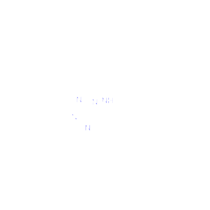 c1ccc(CNn2cnc3ncncc32)cc1